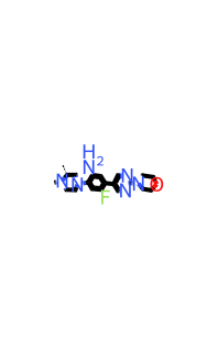 C[C@@H]1CN(c2cc(F)c(-c3cnc(N4CCOCC4)nc3)cc2N)CCN1C